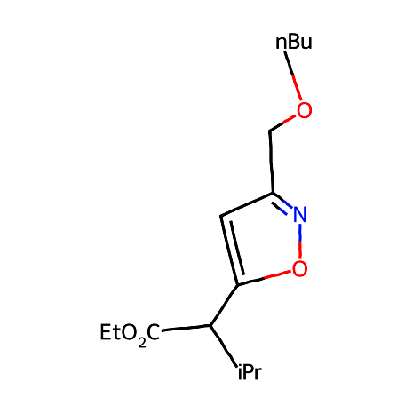 CCCCOCc1cc(C(C(=O)OCC)C(C)C)on1